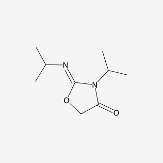 CC(C)N=C1OCC(=O)N1C(C)C